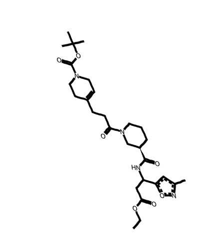 CCOC(=O)CC(NC(=O)[C@@H]1CCCN(C(=O)CCC2=CCN(C(=O)OC(C)(C)C)CC2)C1)c1cc(C)no1